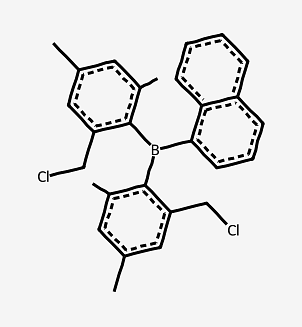 Cc1cc(C)c(B(c2c(C)cc(C)cc2CCl)c2cccc3ccccc23)c(CCl)c1